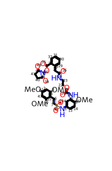 COc1cc(OC)c(/C=C/S(=O)(=O)Nc2ccc(OC)c(NC(=O)OCCNC(=O)Cc3ccccc3C(=O)ON3C(=O)CCC3=O)c2)c(OC)c1